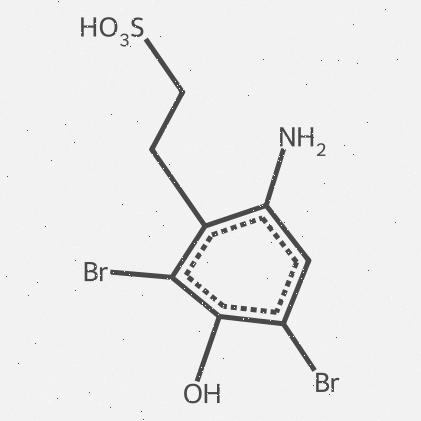 Nc1cc(Br)c(O)c(Br)c1CCS(=O)(=O)O